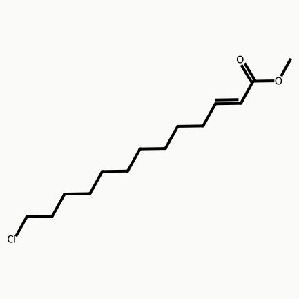 COC(=O)/C=C/CCCCCCCCCCCl